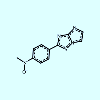 C[S+]([O-])c1ccc(-c2nc3nccn3s2)cc1